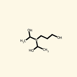 CC(O)N(CCCO)C(C)O